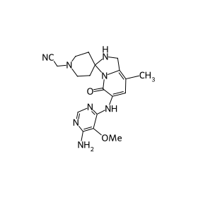 COc1c(N)ncnc1Nc1cc(C)c2n(c1=O)C1(CCN(CC#N)CC1)NC2